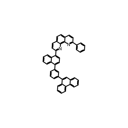 c1ccc(-c2ccc3ccc4ccc(-c5ccc(-c6cccc(-c7cc8ccccc8c8ccccc78)c6)c6ccccc56)nc4c3n2)cc1